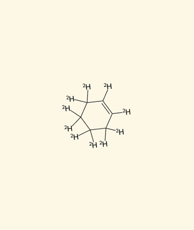 [2H]C1=C([2H])C([2H])([2H])C([2H])([2H])C([2H])([2H])C1([2H])[2H]